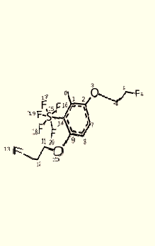 Cc1c(OCCF)ccc(OCCF)c1S(F)(F)(F)(F)F